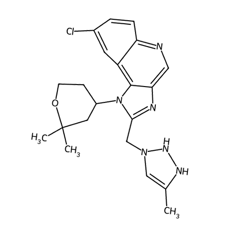 CC1=CN(Cc2nc3cnc4ccc(Cl)cc4c3n2C2CCOC(C)(C)C2)NN1